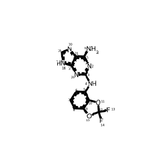 Nc1nc(Nc2cccc3c2OC(F)(F)O3)nc2[nH]cnc12